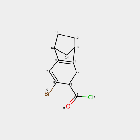 O=C(Cl)C1CC2=C(C=C1Br)C1CCC2C1